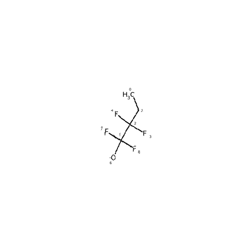 CCC(F)(F)C([O])(F)F